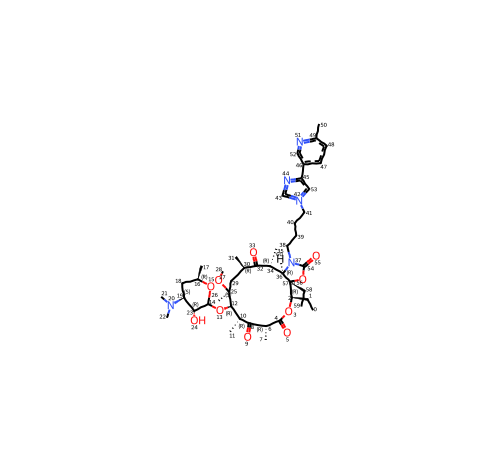 CC[C@H]1OC(=O)[C@H](C)C(=O)[C@H](C)[C@@H](OC2O[C@H](C)C[C@H](N(C)C)[C@H]2O)[C@@](C)(OC)C[C@@H](C)C(=O)[C@H](C)[C@H]2N(CCCCn3cnc(-c4ccc(C)nc4)c3)C(=O)O[C@]12CC